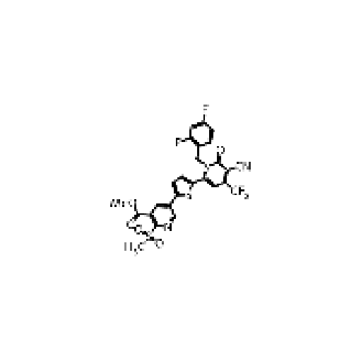 COC(=O)c1cc(-c2ccc(-c3cc(C(F)(F)F)c(C#N)c(=O)n3Cc3ccc(F)cc3F)s2)cnc1S(C)(=O)=O